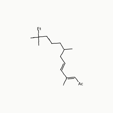 CCC(C)(C)CCCC(C)CC=CC(C)=CC(C)=O